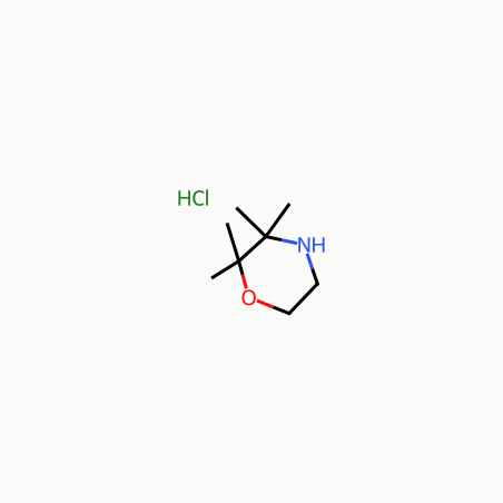 CC1(C)NCCOC1(C)C.Cl